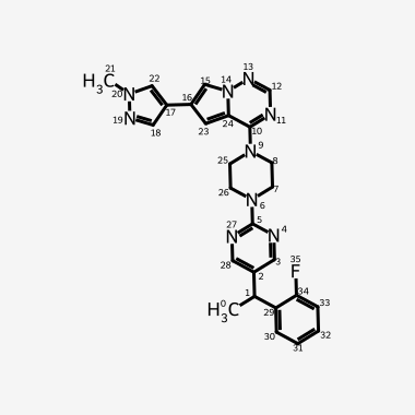 CC(c1cnc(N2CCN(c3ncnn4cc(-c5cnn(C)c5)cc34)CC2)nc1)c1ccccc1F